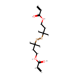 C=CC(=O)OCCC(C)(C)SSC(C)(C)CCOC(=O)C=C